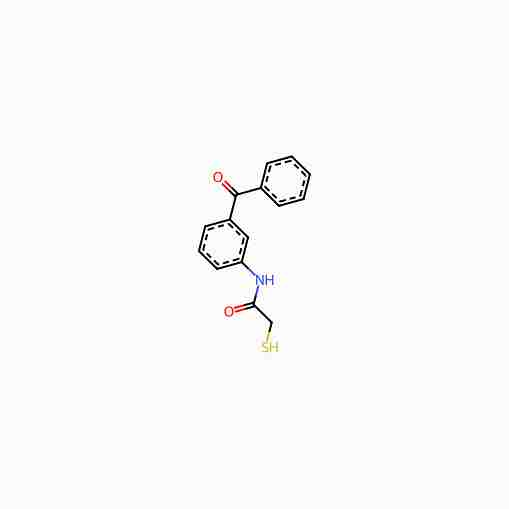 O=C(CS)Nc1cccc(C(=O)c2ccccc2)c1